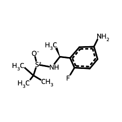 C[C@H](N[S+]([O-])C(C)(C)C)c1cc(N)ccc1F